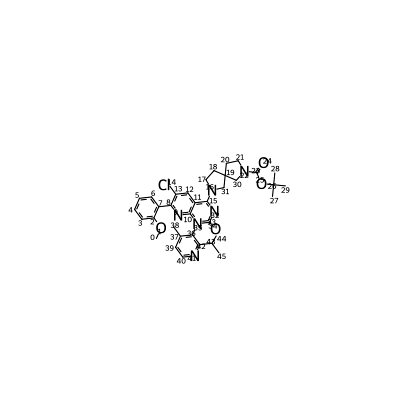 COc1ccccc1-c1nc2c(cc1Cl)c(N1CCC3(CCN(C(=O)OC(C)(C)C)C3)C1)nc(=O)n2-c1c(C)ccnc1C(C)C